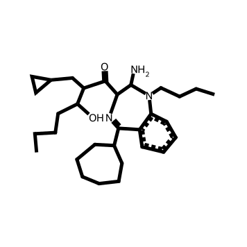 CCCCC(O)C(CC1CC1)C(=O)C1N=C(C2CCCCCC2)c2ccccc2N(CCCC)C1N